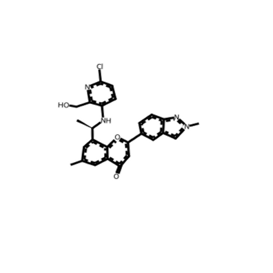 Cc1cc([C@@H](C)Nc2ccc(Cl)nc2CO)c2oc(-c3ccc4nn(C)cc4c3)cc(=O)c2c1